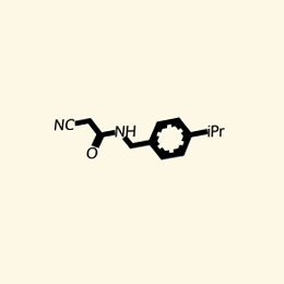 CC(C)c1ccc(CNC(=O)CC#N)cc1